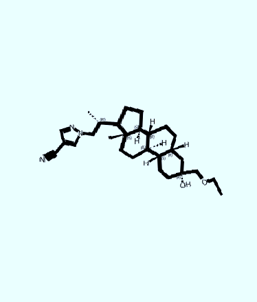 CCOC[C@@]1(O)CC[C@H]2[C@H](CC[C@@H]3[C@@H]2CC[C@]2(C)C([C@@H](C)Cn4cc(C#N)cn4)CC[C@@H]32)C1